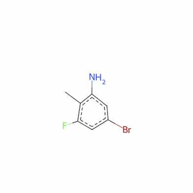 Cc1c(N)cc(Br)cc1F